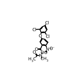 CC(=O)N(C)OC(=O)c1cc(Oc2c(Cl)cc(Cl)cc2Cl)ccc1[N+](=O)[O-]